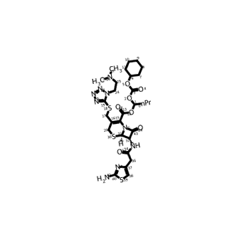 CCCC(OC(=O)OC1CCCCC1)OC(=O)C1=C(CSc2nnnn2CCN(C)C)CS[C@@H]2[C@H](NC(=O)Cc3csc(N)n3)C(=O)N12